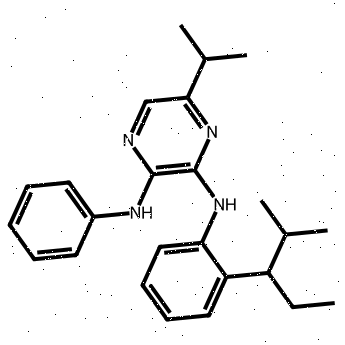 CCC(c1ccccc1Nc1nc(C(C)C)cnc1Nc1ccccc1)C(C)C